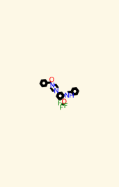 O=C(c1ccccc1)N1CCN(c2ccc(OC(F)(F)F)c(NCc3ccccc3)c2)CC1